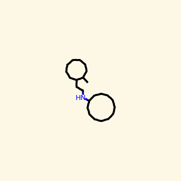 CC1CCCCCCCC1CCNC1CCCCCCCCCCC1